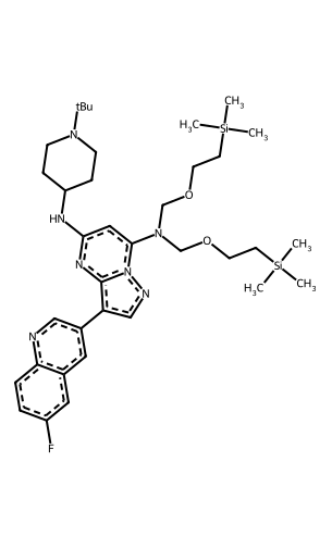 CC(C)(C)N1CCC(Nc2cc(N(COCC[Si](C)(C)C)COCC[Si](C)(C)C)n3ncc(-c4cnc5ccc(F)cc5c4)c3n2)CC1